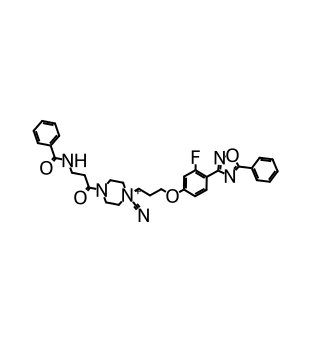 N#C[N+]1(CCCOc2ccc(-c3noc(-c4ccccc4)n3)c(F)c2)CCN(C(=O)CCNC(=O)c2ccccc2)CC1